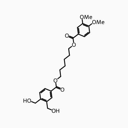 COc1ccc(C(=O)OCCCCCCOC(=O)c2ccc(CO)c(CO)c2)cc1OC